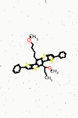 CCCC(OC)c1c2sc3cc(-c4ccccc4)sc3c2c(CCCCOC)c2sc3cc(-c4ccccc4)sc3c12